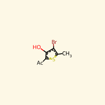 CC(=O)c1sc(C)c(Br)c1O